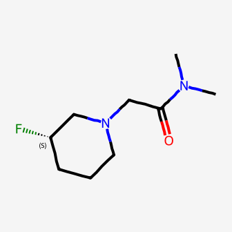 CN(C)C(=O)CN1CCC[C@H](F)C1